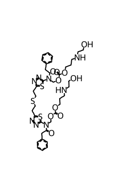 O=C(OCCCNCCO)OCN(C(=O)Cc1ccccc1)c1nnc(CCSCCc2nnc(N(COC(=O)OCCCNCCO)C(=O)Cc3ccccc3)s2)s1